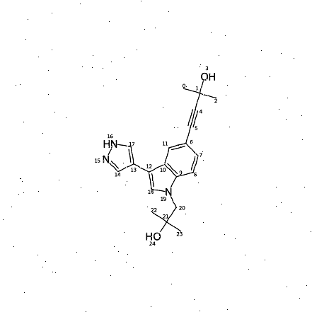 CC(C)(O)C#Cc1ccc2c(c1)c(-c1cn[nH]c1)cn2CC(C)(C)O